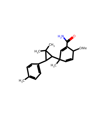 COC1C=CC(C)(C2C(c3ccc(C)cc3)C2(C)C)C=C1C(N)=O